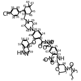 CCN(C)C(=O)N1CCOC(CNc2ccc(S(=O)(=O)NC(=O)c3ccc(N4CCN(CC5=C(c6ccc(Cl)cc6)CC(C)(C)CC5)CC4)cc3Oc3cccc4[nH]ncc34)cc2[N+](=O)[O-])C1